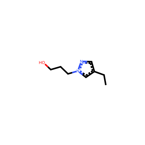 CCc1cnn(CCCO)c1